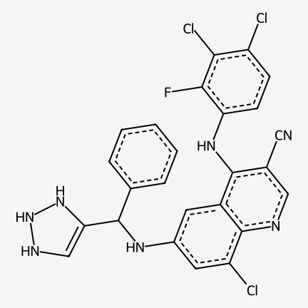 N#Cc1cnc2c(Cl)cc(NC(C3=CNNN3)c3ccccc3)cc2c1Nc1ccc(Cl)c(Cl)c1F